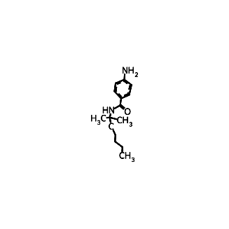 CCCCCC(C)(C)NC(=O)c1ccc(N)cc1